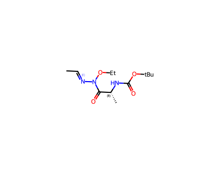 C/C=N/N(OCC)C(=O)[C@@H](C)NC(=O)OC(C)(C)C